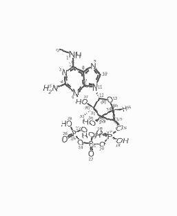 CNc1nc(N)nc2c1ncn2[C@@H]1O[C@@H]2C(OP(=O)(O)OP(=O)(O)OP(=O)(O)O)[C@]2(O)[C@@]1(C)O